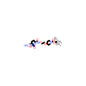 CC(C)(C)OC(=O)N1CCC(OCCONC(=O)[C@@H]2CC[C@@H]3CN2C(=O)N3OB=N)CC1